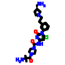 CC(C)(N)C(=O)N1CCN(C(=O)Nc2ccn(-c3cccc(CCN4CC[C@H](CN)C4)c3)c(=O)n2)CC1.Cl